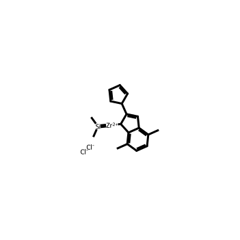 Cc1ccc(C)c2c1C=C(C1C=CC=C1)[CH]2[Zr+2]=[Si](C)C.[Cl-].[Cl-]